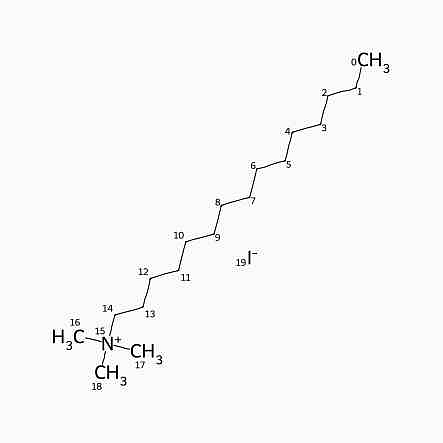 CCCCCCCCCCCCCCC[N+](C)(C)C.[I-]